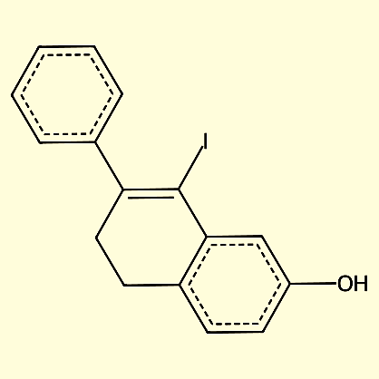 Oc1ccc2c(c1)C(I)=C(c1ccccc1)CC2